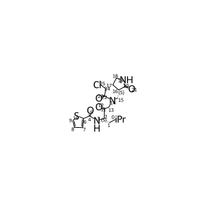 CC(C)C[C@H](NC(=O)c1cccs1)C(=O)CN(C[C@@H]1CCNC1=O)C(=O)CCl